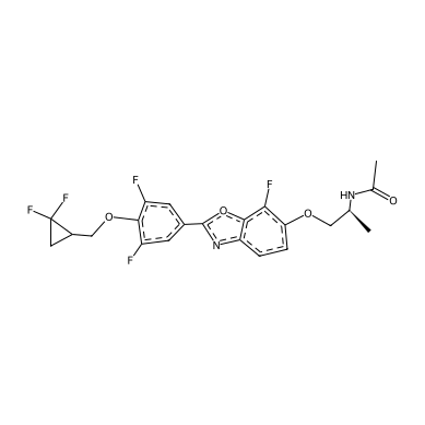 CC(=O)N[C@@H](C)COc1ccc2nc(-c3cc(F)c(OCC4CC4(F)F)c(F)c3)oc2c1F